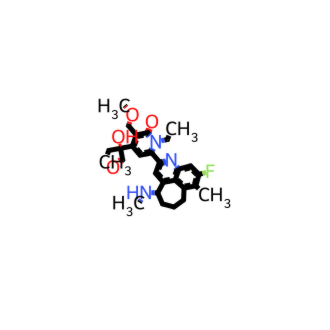 CCn1c(-c2cc3c4c(c(C)c(F)cc4n2)CCCC3NC)cc([C@](O)(C=O)CC)c(COC)c1=O